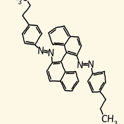 CCCc1ccc(/N=N/c2ccc3ccccc3c2-c2c(/N=N/c3ccc(CCC)cc3)ccc3ccccc23)cc1